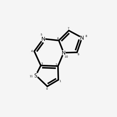 c1cc2c(cnc3cncn32)s1